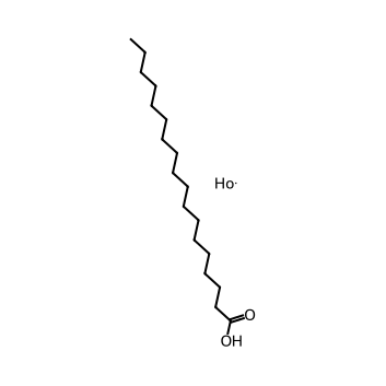 CCCCCCCCCCCCCCCCCC(=O)O.[Ho]